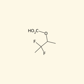 CC(OC(=O)O)C(C)(F)F